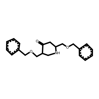 O=C1CC(COCc2ccccc2)NCC1COCc1ccccc1